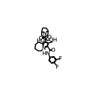 Cc1c(S(=O)(=O)N2C3CCC2CC(O)(CO)C3)c2n(c1C(=O)Nc1ccc(F)c(F)c1)CCCCC2